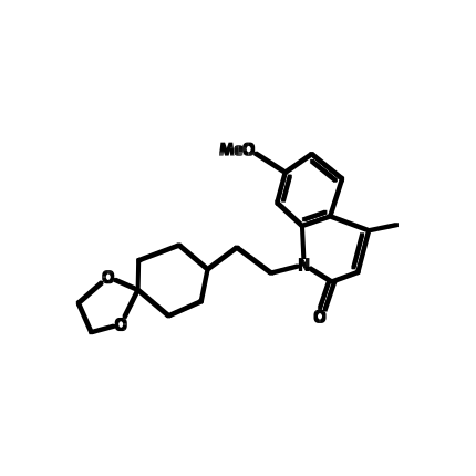 COc1ccc2c(C)cc(=O)n(CCC3CCC4(CC3)OCCO4)c2c1